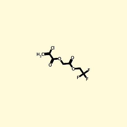 C=C(Cl)C(=O)OCC(=O)OCC(F)(F)F